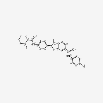 CC1CCCCC1C(=O)Nc1ccc(C2Cc3cc(C(=O)Nc4ccc(Cl)cc4)ccc3N2)cc1